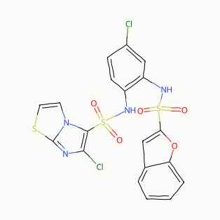 O=S(=O)(Nc1cc(Cl)ccc1NS(=O)(=O)c1c(Cl)nc2sccn12)c1cc2ccccc2o1